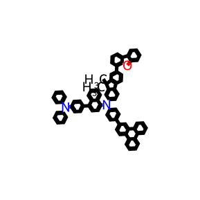 CC1(C)c2cc(-c3cccc4c3oc3ccccc34)ccc2-c2ccc(N(c3ccc(-c4ccc5c6ccccc6c6ccccc6c5c4)cc3)c3ccc(-c4ccc(N(c5ccccc5)c5ccccc5)cc4)c4ccccc34)cc21